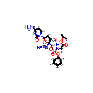 CC(C)OC(=O)[C@H](C)NP(=O)(OC[C@@]1(N=[N+]=[N-])O[C@@H](n2ccc(N)nc2=O)[C@H](F)[C@@H]1O)Oc1ccccc1